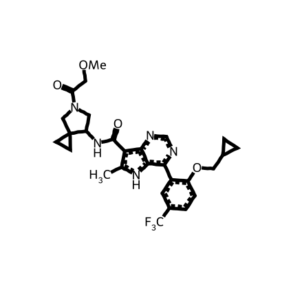 COCC(=O)N1CC(NC(=O)c2c(C)[nH]c3c(-c4cc(C(F)(F)F)ccc4OCC4CC4)ncnc23)C2(CC2)C1